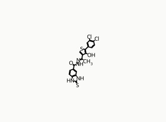 C/C(=N\NC(=O)c1ccc2[nH]c(=S)[nH]c2c1)c1csc(-c2ccc(Cl)c(Cl)c2)c1O